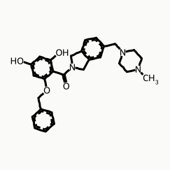 CN1CCN(Cc2ccc3c(c2)CN(C(=O)c2c(O)cc(O)cc2OCc2ccccc2)C3)CC1